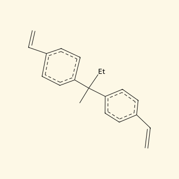 C=Cc1ccc(C(C)(CC)c2ccc(C=C)cc2)cc1